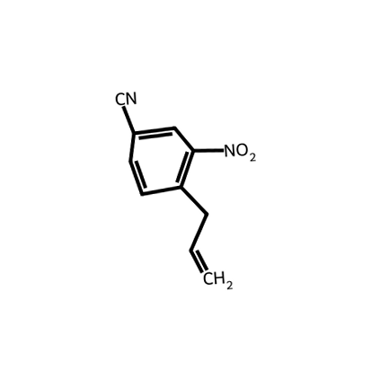 C=CCc1ccc(C#N)cc1[N+](=O)[O-]